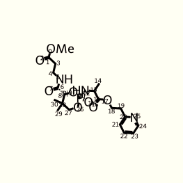 COC(=O)CCNC(=O)[C@@H]1O[P@@](=O)(NC(C)C(=O)OCCc2ccccn2)OCC1(C)C